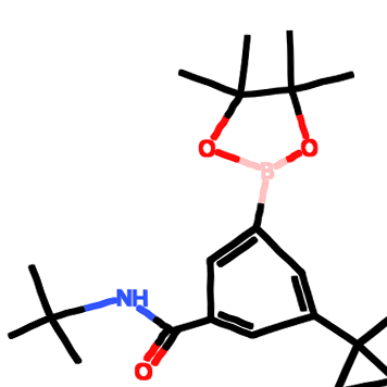 CC(C)(C)NC(=O)c1cc(B2OC(C)(C)C(C)(C)O2)cc(C2(C)CC2)c1